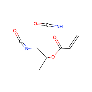 C=CC(=O)OC(C)CN=C=O.N=C=O